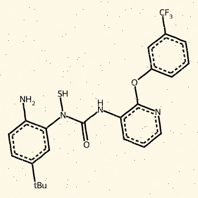 CC(C)(C)c1ccc(N)c(N(S)C(=O)Nc2cccnc2Oc2cccc(C(F)(F)F)c2)c1